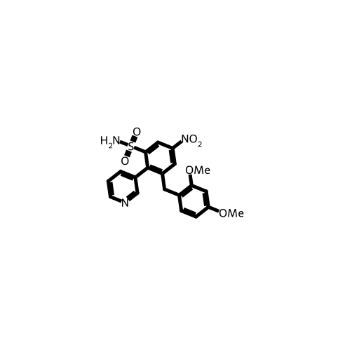 COc1ccc(Cc2cc([N+](=O)[O-])cc(S(N)(=O)=O)c2-c2cccnc2)c(OC)c1